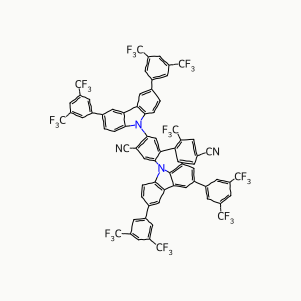 N#Cc1ccc(-c2cc(-n3c4ccc(-c5cc(C(F)(F)F)cc(C(F)(F)F)c5)cc4c4cc(-c5cc(C(F)(F)F)cc(C(F)(F)F)c5)ccc43)c(C#N)cc2-n2c3ccc(-c4cc(C(F)(F)F)cc(C(F)(F)F)c4)cc3c3cc(-c4cc(C(F)(F)F)cc(C(F)(F)F)c4)ccc32)c(C(F)(F)F)c1